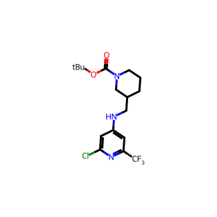 CC(C)(C)OC(=O)N1CCCC(CNc2cc(Cl)nc(C(F)(F)F)c2)C1